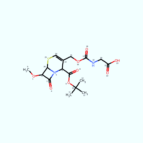 COC1C(=O)N2C(C(=O)OC(C)(C)C)C(COC(=O)NCC(=O)O)=CSC12